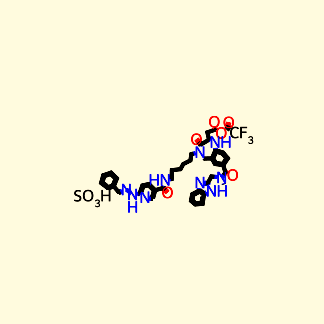 CN(Cc1nc2ccccc2[nH]1)C(=O)c1ccc2c(c1)CN(CCCCCCNC(=O)c1ccc(NN=Cc3ccccc3S(=O)(=O)O)nc1)C(=O)C(CC(=O)OC(=O)C(F)(F)F)N2